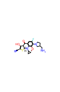 COc1c(N2CCC(CN)C2)c(F)cc2c1N(C1CC1)[C@H]1SC(C#N)=C(O)C1C2=O